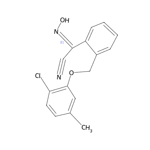 Cc1ccc(Cl)c(OCc2ccccc2/C(C#N)=N\O)c1